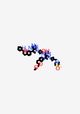 CCOCC1CCc2ccc(-c3cn(C4CC(CN5CC[S+]([O-])CC5)C4)c4ncnc(NC5(O)CC(n6cc(-c7ccc8c(c7)OC(c7ccccc7)CC8)c7c(N)ncnc76)C5)c34)cc2O1